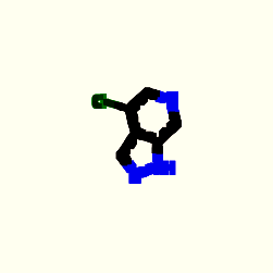 Clc1cncc2[nH]ncc12